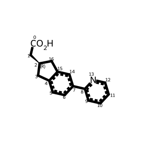 O=C(O)C[C@@H]1Cc2ccc(-c3ccccn3)cc2C1